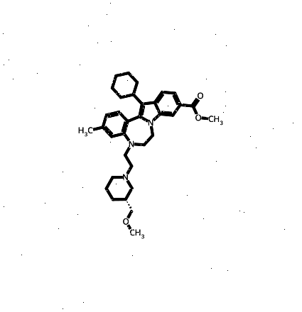 COC[C@@H]1CCCN(CCN2CCn3c(c(C4CCCCC4)c4ccc(C(=O)OC)cc43)-c3ccc(C)cc32)C1